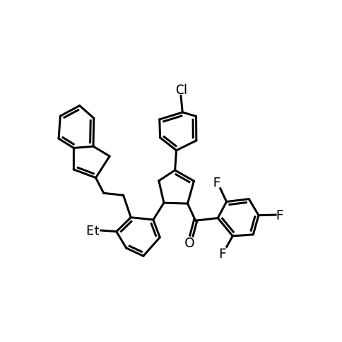 CCc1cccc(C2CC(c3ccc(Cl)cc3)=CC2C(=O)c2c(F)cc(F)cc2F)c1CCC1=Cc2ccccc2C1